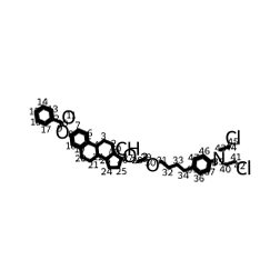 C[C@]12CCC3c4ccc(OC(=O)c5ccccc5)cc4CCC3C1CCC2OCCOCCCCc1ccc(N(CCCl)CCCl)cc1